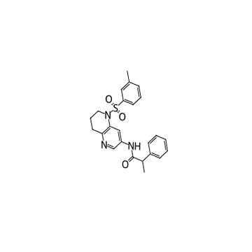 Cc1cccc(S(=O)(=O)N2CCCc3ncc(NC(=O)C(C)c4ccccc4)cc32)c1